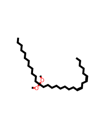 CCCCC/C=C\C/C=C\CCCCCCCCC(CCCCCCCCCCCC)(OC)OC